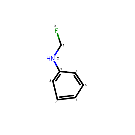 FCNc1[c]cccc1